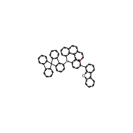 c1ccc2c(c1)-c1ccccc1C21c2ccccc2-c2c(N(c3ccc(-c4cccc5c4oc4ccccc45)cc3)c3cccc4ccc5ccccc5c34)cccc21